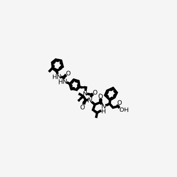 Cc1ccccc1NC(=O)Nc1ccc(CN2C(=O)N(C(CC(C)C)C(=O)NC(CC(=O)O)c3ccccc3)C(=O)C2(C)C)cc1